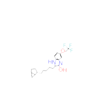 OC1=Nc2cc(OCC(F)(F)F)ccc2NC1CCCCC[C@H]1CCC2CC21